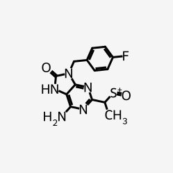 CC([S+]=O)c1nc(N)c2[nH]c(=O)n(Cc3ccc(F)cc3)c2n1